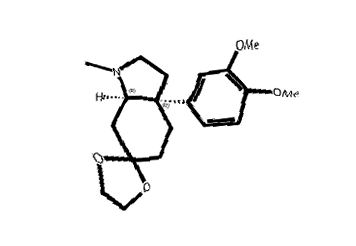 COc1ccc([C@@]23CCN(C)[C@@H]2CC2(CC3)OCCO2)cc1OC